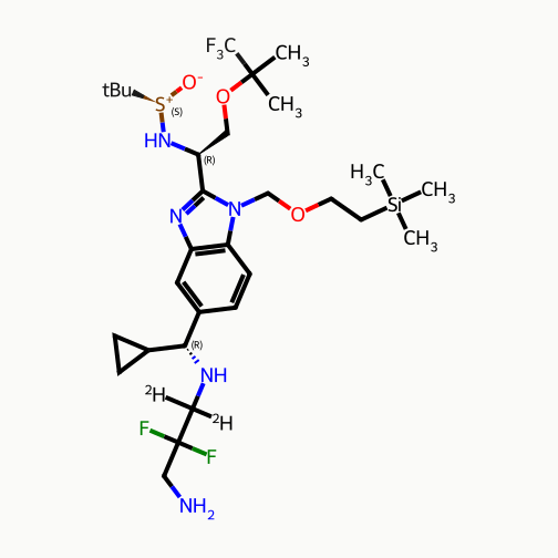 [2H]C([2H])(N[C@@H](c1ccc2c(c1)nc([C@H](COC(C)(C)C(F)(F)F)N[S@+]([O-])C(C)(C)C)n2COCC[Si](C)(C)C)C1CC1)C(F)(F)CN